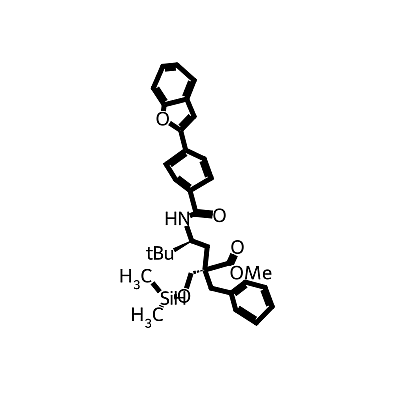 COC(=O)[C@@](CO[SiH](C)C)(Cc1ccccc1)C[C@H](NC(=O)c1ccc(-c2cc3ccccc3o2)cc1)C(C)(C)C